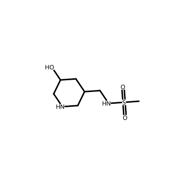 CS(=O)(=O)NCC1CNCC(O)C1